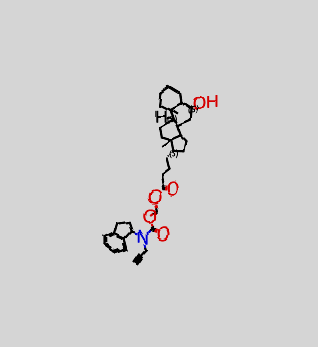 C#CCN(C(=O)OCOC(=O)CCC[C@H]1CCC2C3C[C@H](O)C4CCCCC4(C)[C@H]3CCC21C)C1CCc2ccccc21